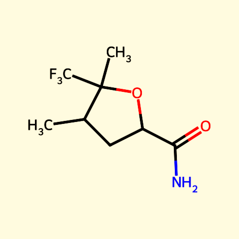 CC1CC(C(N)=O)OC1(C)C(F)(F)F